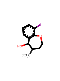 CCOC(=O)C1CCOc2c(I)cccc2C1O